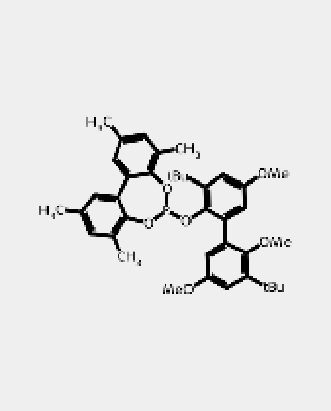 COc1cc(-c2cc(OC)cc(C(C)(C)C)c2Op2oc3c(C)cc(C)cc3c3cc(C)cc(C)c3o2)c(OC)c(C(C)(C)C)c1